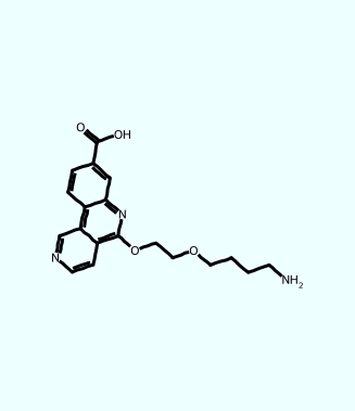 NCCCCOCCOc1nc2cc(C(=O)O)ccc2c2cnccc12